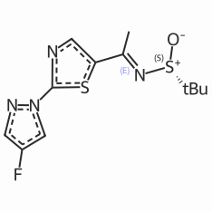 C/C(=N\[S@+]([O-])C(C)(C)C)c1cnc(-n2cc(F)cn2)s1